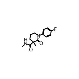 CNC(=O)C1(C)CCCN(c2ccc(F)cc2)C1=O